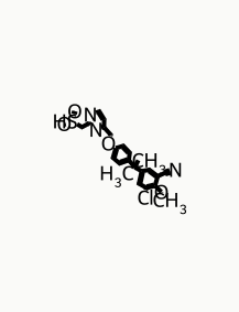 COc1c(Cl)cc(C(C)(C)c2ccc(OCc3ccnc(C[SH](=O)=O)n3)cc2)cc1C#N